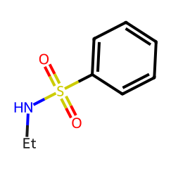 [CH2]CNS(=O)(=O)c1ccccc1